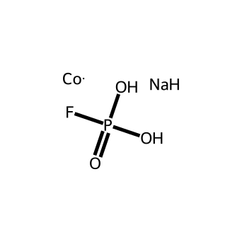 O=P(O)(O)F.[Co].[NaH]